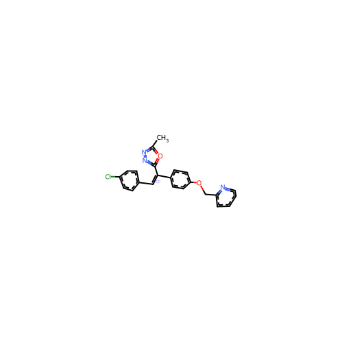 Cc1nnc(/C(=C\c2ccc(Cl)cc2)c2ccc(OCc3ccccn3)cc2)o1